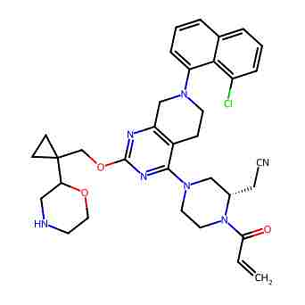 C=CC(=O)N1CCN(c2nc(OCC3(C4CNCCO4)CC3)nc3c2CCN(c2cccc4cccc(Cl)c24)C3)C[C@@H]1CC#N